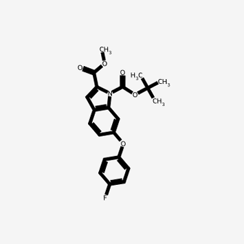 COC(=O)c1cc2ccc(Oc3ccc(F)cc3)cc2n1C(=O)OC(C)(C)C